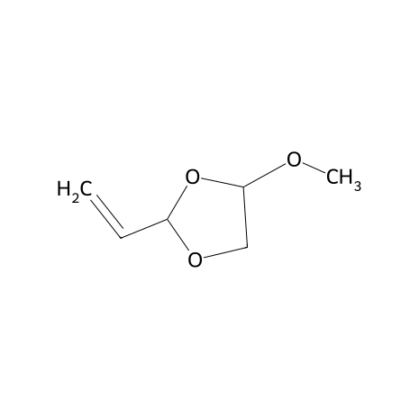 C=CC1OCC(OC)O1